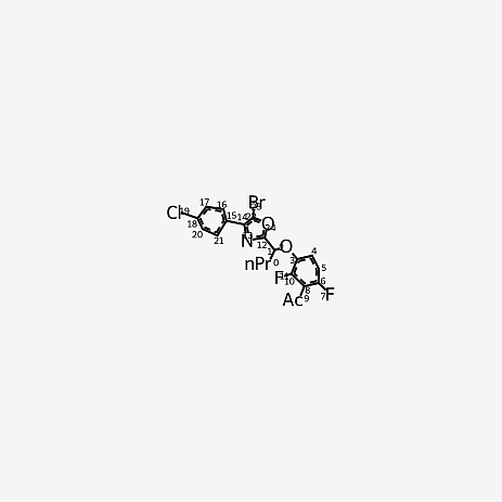 CCCC(Oc1ccc(F)c(C(C)=O)c1F)c1nc(-c2ccc(Cl)cc2)c(Br)o1